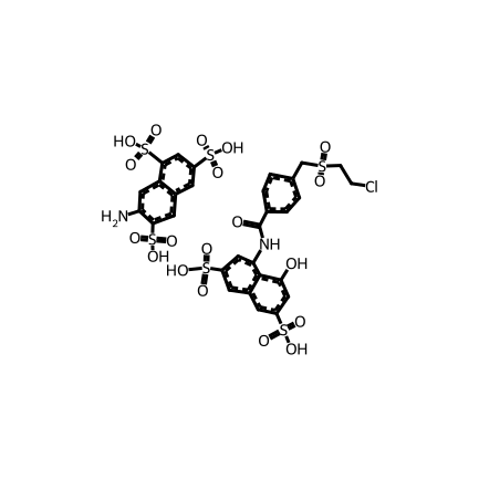 Nc1cc2c(S(=O)(=O)O)cc(S(=O)(=O)O)cc2cc1S(=O)(=O)O.O=C(Nc1cc(S(=O)(=O)O)cc2cc(S(=O)(=O)O)cc(O)c12)c1ccc(CS(=O)(=O)CCCl)cc1